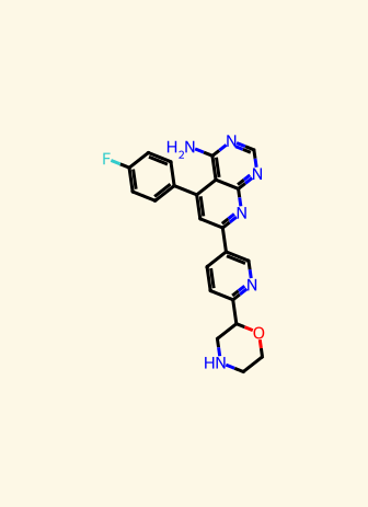 Nc1ncnc2nc(-c3ccc(C4CNCCO4)nc3)cc(-c3ccc(F)cc3)c12